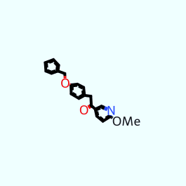 COc1ccc(C(=O)Cc2ccc(OCc3ccccc3)cc2)cn1